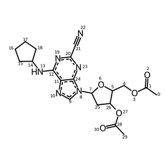 CC(=O)OCC1OC(n2cnc3c(NC4CCCC4)nc(C#N)nc32)CC1OC(C)=O